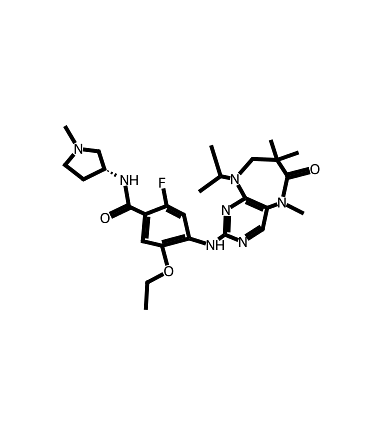 CCOc1cc(C(=O)N[C@@H]2CCN(C)C2)c(F)cc1Nc1ncc2c(n1)N(C(C)C)CC(C)(C)C(=O)N2C